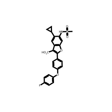 CS(=O)(=O)Nc1cc2oc(-c3ccc(Oc4ccc(F)cc4)cc3)c(C(=O)O)c2cc1C1CC1